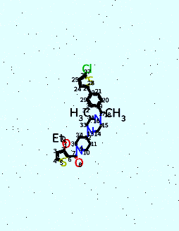 CCOc1ccsc1C(=O)N1CCC(N2CCN([C@@H](C)c3ccc(-c4ccc(Cl)s4)cc3)[C@H](C)C2)CC1